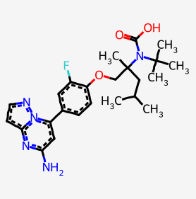 CC(C)CC(C)(COc1ccc(-c2cc(N)nc3ccnn23)cc1F)N(C(=O)O)C(C)(C)C